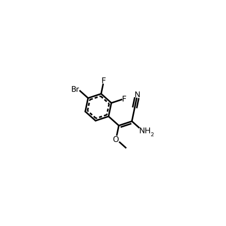 CO/C(=C(\N)C#N)c1ccc(Br)c(F)c1F